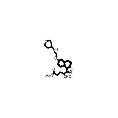 CNC(=O)CCC(C=O)c1noc2ccc3cc(OCCNC4CCOCC4)ccc3c12